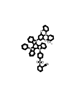 CC12C=CC=CC1B1c3ccccc3Oc3cc(-n4c5ccccc5c5c6c(c7ccccc7n6-c6ccccc6)c6c(c7ccccc7n6-c6ccc(S(=O)(=O)c7ccccc7C#N)cc6)c54)cc(c31)O2